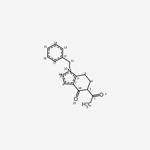 CC(=O)C1CCc2c(cnn2Cc2ccccc2)C1=O